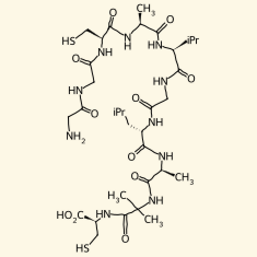 CC(C)C[C@H](NC(=O)CNC(=O)[C@@H](NC(=O)[C@H](C)NC(=O)[C@H](CS)NC(=O)CNC(=O)CN)C(C)C)C(=O)N[C@@H](C)C(=O)NC(C)(C)C(=O)N[C@@H](CS)C(=O)O